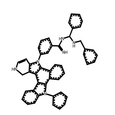 N=C(NC(NCc1ccccc1)c1ccccc1)c1cccc(-n2c3c(c4c5c6ccccc6n(-c6ccccc6)c5c5ccccc5c42)CNC=C3)c1